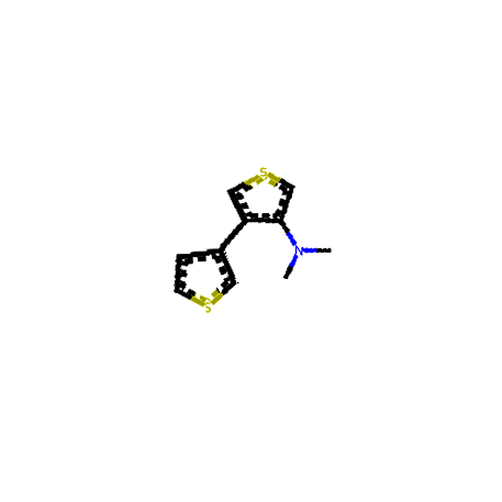 CN(C)c1cscc1-c1[c]scc1